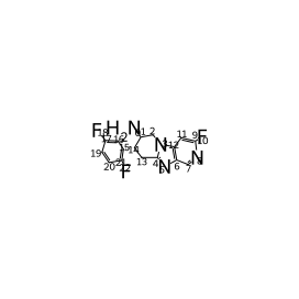 NC1Cn2c(nc3cnc(F)cc32)C[C@@H]1c1cc(F)ccc1F